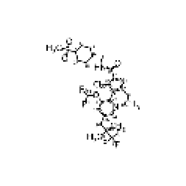 CCc1nc(C(=O)NC[C@H]2CC[C@H](S(C)(=O)=O)CC2)c(Cl)n1-c1ncc(CC(C)(C)C(F)(F)F)cc1OC(F)F